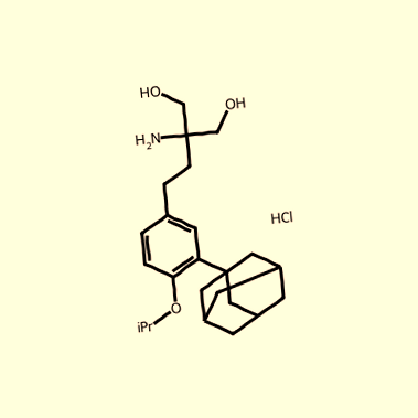 CC(C)Oc1ccc(CCC(N)(CO)CO)cc1C12CC3CC(CC(C3)C1)C2.Cl